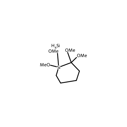 COC1(OC)CCCC[Si]1(OC)OC.[SiH4]